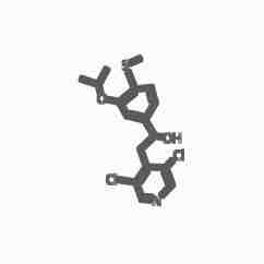 CSc1ccc(C(O)Cc2c(Cl)cncc2Cl)cc1OC(C)C